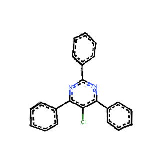 Clc1c(-c2ccccc2)nc(-c2ccccc2)nc1-c1ccccc1